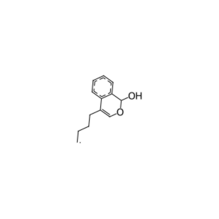 [CH2]CCCC1=COC(O)c2ccccc21